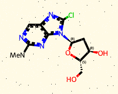 CNc1ncc2nc(Cl)n([C@H]3C[C@@H](O)[C@H](CO)O3)c2n1